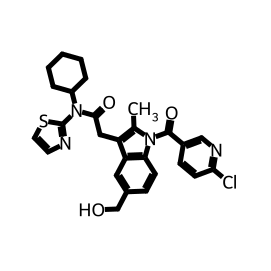 Cc1c(CC(=O)N(c2nccs2)C2CCCCC2)c2cc(CO)ccc2n1C(=O)c1ccc(Cl)nc1